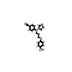 N#Cc1ccc(N(CCCSc2ccc(O)cc2)n2cnnc2)cc1